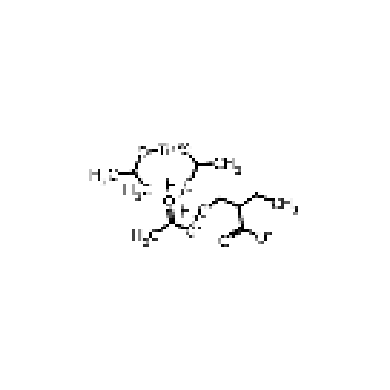 CC(=O)[O-].CC(C)[O][Ti+2][O]C(C)C.CCC(CC)C(=O)[O-]